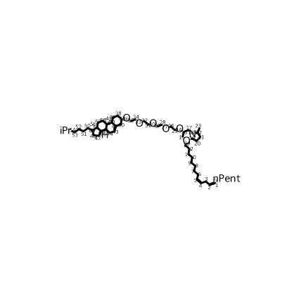 CCCCC/C=C\C/C=C\CCCCCCCCOCC(CN1CCCC1C)OCCOCCOCCOCCO[C@H]1CC[C@@]2(C)C(=CC[C@H]3C4CCC(CCCCC(C)C)[C@@]4(C)CCC32)C1